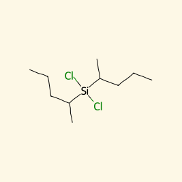 CCCC(C)[Si](Cl)(Cl)C(C)CCC